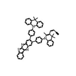 C#C/C=C\C1=C(C)N(c2ccc(-c3cc4nc5c(nc4cc3-c3ccc(N4c6ccccc6C(C)(C)c6ccccc64)cc3)sc3ccccc35)cc2)c2ccccc2C1(C)C